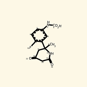 CC1(c2cc(NC(=O)O)ccc2F)CC(=O)CC(=O)N1